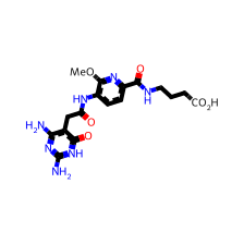 COc1nc(C(=O)NCCCC(=O)O)ccc1NC(=O)Cc1c(N)nc(N)[nH]c1=O